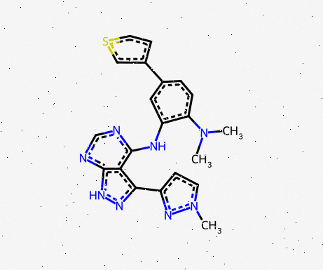 CN(C)c1ccc(-c2ccsc2)cc1Nc1ncnc2[nH]nc(-c3ccn(C)n3)c12